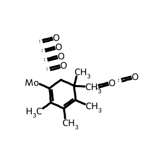 CC1=[C]([Mo])CC(C)(C)C(C)=C1C.[C]=O.[C]=O.[C]=O.[C]=O.[C]=O.[C]=O